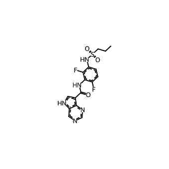 CCCS(=O)(=O)Nc1ccc(F)c(NC(=O)c2c[nH]c3cncnc23)c1F